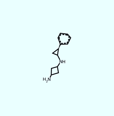 NC1CC(NC2C[C@H]2c2ccccc2)C1